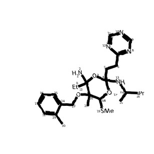 CCC1(N)OC(CCc2ncncn2)(NC(C)C(C)C)OC(SC)C1(C)OCc1ccccc1C